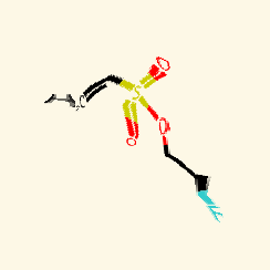 C=CS(=O)(=O)OCCF